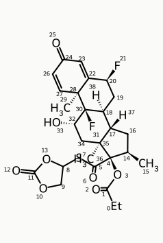 CCC(=O)O[C@]1(C(=O)SC2COC(=O)O2)[C@H](C)C[C@H]2[C@@H]3C[C@H](F)C4=CC(=O)C=C[C@]4(C)[C@@]3(F)[C@@H](O)C[C@@]21C